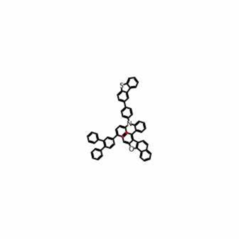 c1ccc(-c2ccc(-c3ccc(N(c4ccc(-c5ccc6sc7ccccc7c6c5)cc4)c4ccccc4-c4cccc5oc6c7ccccc7ccc6c45)cc3)cc2-c2ccccc2)cc1